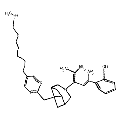 CNCCCCCCCc1cnc(CC23CC4CN(C(/C=C(\N)c5ccccc5O)=C(N)N)CC2CC43)nc1